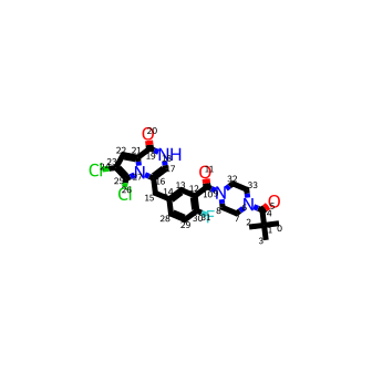 CC(C)(C)C(=O)N1CCN(C(=O)c2cc(Cc3c[nH]c(=O)c4cc(Cl)c(Cl)n34)ccc2F)CC1